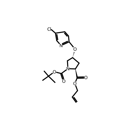 C=CCOC(=O)[C@@H]1C[C@@H](Oc2ccc(Cl)cn2)CN1C(=O)OC(C)(C)C